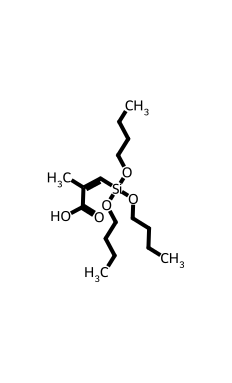 CCCCO[Si](C=C(C)C(=O)O)(OCCCC)OCCCC